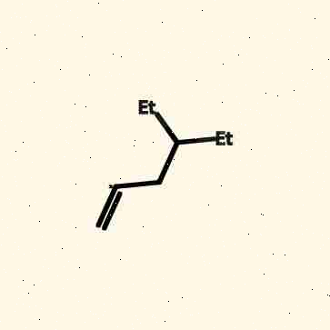 C=[C]CC(CC)CC